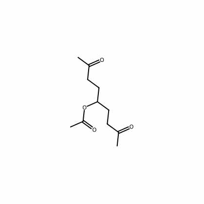 CC(=O)CCC(CCC(C)=O)OC(C)=O